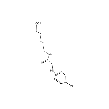 CC(=O)c1ccc(NCC(=O)NCCCCCC(=O)O)cc1